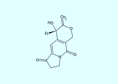 C=C1OCc2c(cc3n(c2=O)CCC3=O)[C@@]1(O)CC